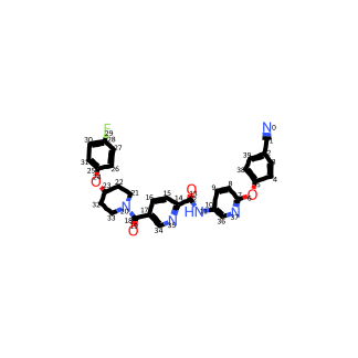 N#Cc1ccc(Oc2ccc(NC(=O)c3ccc(C(=O)N4CCC(Oc5ccc(F)cc5)CC4)cn3)cn2)cc1